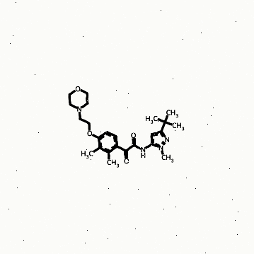 Cc1c(OCCN2CCOCC2)ccc(C(=O)C(=O)Nc2cc(C(C)(C)C)nn2C)c1C